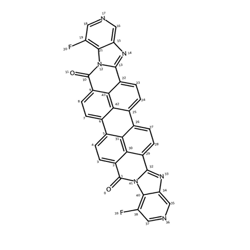 O=c1c2ccc3c4ccc5c(=O)n6c(nc7cncc(F)c76)c6ccc(c7ccc(c2c37)c2nc3cncc(F)c3n12)c4c56